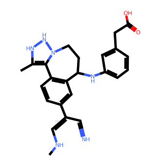 CN/C=C(\C=N)c1ccc2c(c1)C(Nc1cccc(CC(=O)O)c1)CCN1NNC(C)=C21